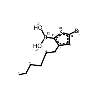 CCCCCCc1cc(Br)sc1B(O)O